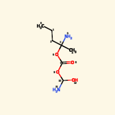 CCCC(C)(N)OC(=O)OC(N)O